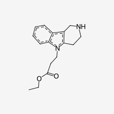 CCOC(=O)CCn1c2c(c3ccccc31)CNCC2